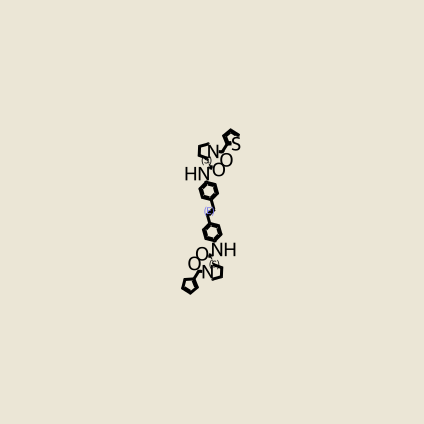 O=C(Nc1ccc(/C=C/c2ccc(NC(=O)[C@@H]3CCCN3C(=O)c3cccs3)cc2)cc1)[C@@H]1CCCN1C(=O)C1=CC=CC1